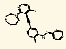 Cc1ncc(C#Cc2c(C)ncnc2N2CCCOCC2)cc1NSc1ccccc1